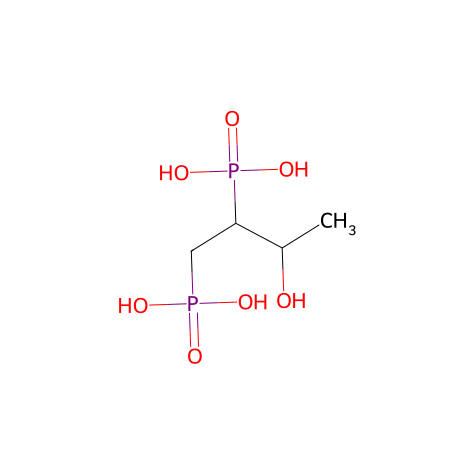 CC(O)C(CP(=O)(O)O)P(=O)(O)O